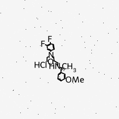 COc1cccc([C@@H](C)NCC2CN(c3ccc(F)c(F)c3)CCO2)c1.Cl